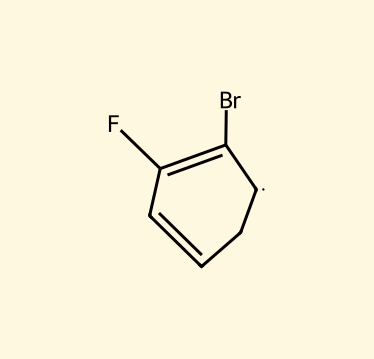 FC1=C(Br)[CH]CC=C1